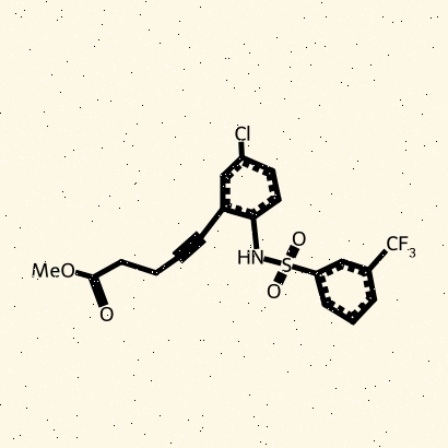 COC(=O)CCC#Cc1cc(Cl)ccc1NS(=O)(=O)c1cccc(C(F)(F)F)c1